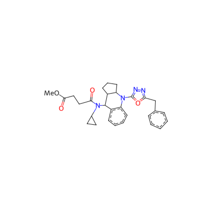 COC(=O)CCC(=O)N(C1CC1)C1c2ccccc2N(c2nnc(Cc3ccccc3)o2)C2CCCC21